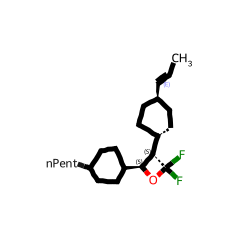 C/C=C/[C@H]1CC[C@H]([C@H]2[C@H](C3CCC(CCCCC)CC3)OC2(F)F)CC1